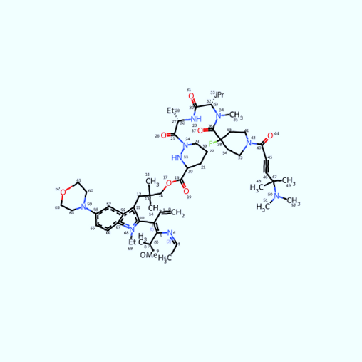 C=C/C(=C(\N=C/C)[C@H](C)OC)c1c(CC(C)(C)COC(=O)C2CCCN(C(=O)[C@H](CC)NC(=O)[C@H](C(C)C)N(C)C(=O)C3(F)CCN(C(=O)C#CC(C)(C)N(C)C)CC3)N2)c2cc(N3CCOCC3)ccc2n1CC